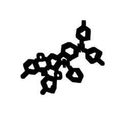 Cc1ccc(N(c2ccc(C)cc2)c2ccc3c4cc5c6c(c4n(-c4ccccc4)c3c2)Oc2ccc(C)cc2B6c2cc(C)ccc2O5)cc1